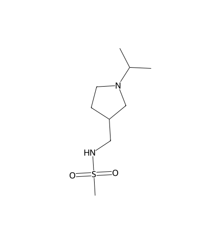 CC(C)N1CCC(CNS(C)(=O)=O)C1